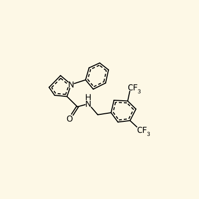 O=C(NCc1cc(C(F)(F)F)cc(C(F)(F)F)c1)c1cccn1-c1ccccc1